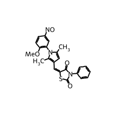 COc1ccc(N=O)cc1-n1c(C)cc(C=C2SC(=O)N(c3ccccc3)C2=O)c1C